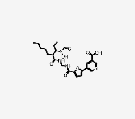 CCCCCC(C(=O)NCNC(=O)c1ccc(-c2cncc(C(=O)O)c2)o1)C(CC)N(O)C=O